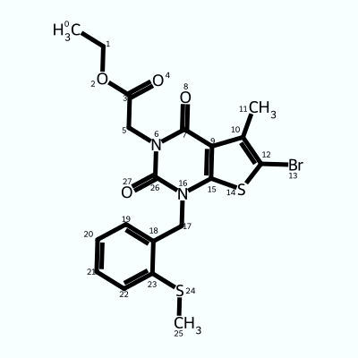 CCOC(=O)Cn1c(=O)c2c(C)c(Br)sc2n(Cc2ccccc2SC)c1=O